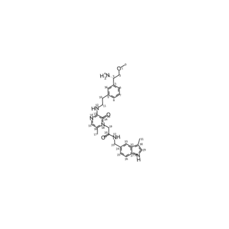 COC[C@@H](N)c1cccc(CCNc2ncc(C)n(CC(=O)NCc3ccc4[nH]cc(C)c4c3)c2=O)c1